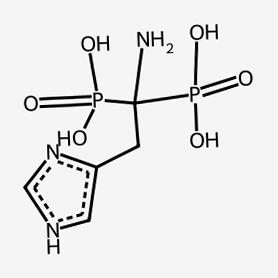 NC(Cc1c[nH]cn1)(P(=O)(O)O)P(=O)(O)O